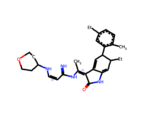 CCc1ccc(C)c(C2C=C3C(=CC2CC)NC(=O)/C3=C(/C)NC(=N)/C=C\NC2CCOCC2)c1